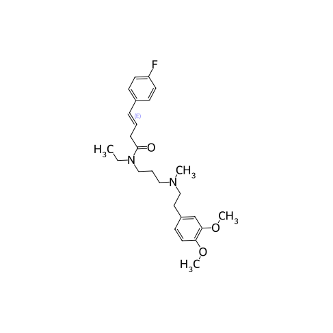 CCN(CCCN(C)CCc1ccc(OC)c(OC)c1)C(=O)C/C=C/c1ccc(F)cc1